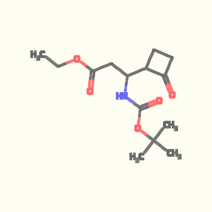 CCOC(=O)CC(NC(=O)OC(C)(C)C)C1CCC1=O